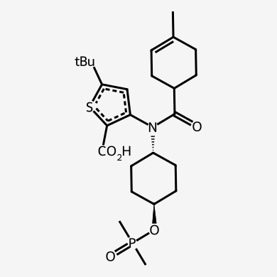 CC1=CCC(C(=O)N(c2cc(C(C)(C)C)sc2C(=O)O)[C@H]2CC[C@H](OP(C)(C)=O)CC2)CC1